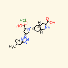 CC(C)Cc1nnn([C@H]2C[C@@H](C(=O)O)N(C[C@H]3CC[C@H]4CN[C@H](C(=O)O)C[C@H]4C3)C2)n1.Cl